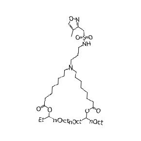 CCCCCCCCC(CC)OC(=O)CCCCCCCN(CCCCCCCC(=O)OC(CCCCCCCC)CCCCCCCC)CCCNS(=O)(=O)Cc1nocc1C